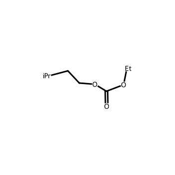 [CH2]COC(=O)OCCC(C)C